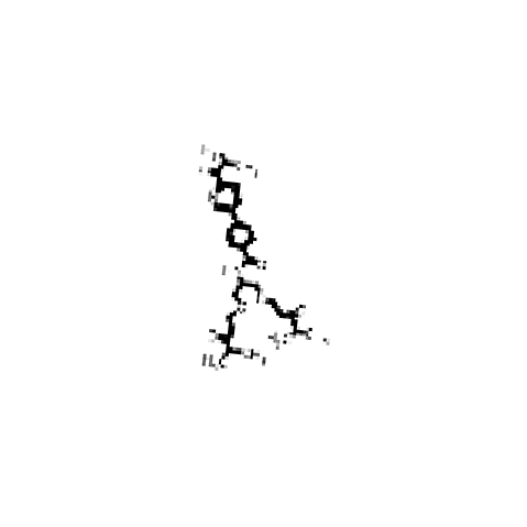 CC(C)C(=O)CCOCC(COCCC(=O)C(C)C)NC(=O)c1ccc(-c2ccc(C(=O)C(C)C)nc2)cc1